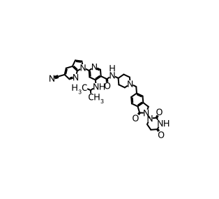 CC(C)Nc1cc(-n2ccc3cc(C#N)cnc32)ncc1C(=O)NC1CCN(Cc2ccc3c(c2)CN(N2CCC(=O)NC2=O)C3=O)CC1